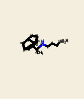 CC(NCCCS(=O)(=O)O)C12CC3CC(CC(C3)C1)C2